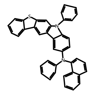 c1ccc(N(c2ccc3c(c2)c2cc4c(cc2n3-c2ccccc2)sc2ccccc24)c2cccc3ccccc23)cc1